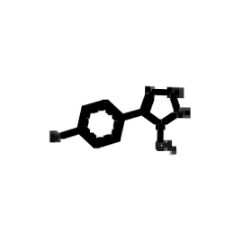 CN1NNN=C1c1ccc(Br)cc1